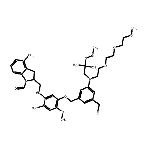 COCCOCCOCCN(CC(C)(C)SSC)c1cc(CCl)cc(COc2cc(NCC3Cc4c(C)cccc4N3C=O)c(C)cc2OC)c1